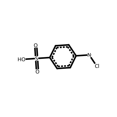 O=S(=O)(O)c1ccc([N]Cl)cc1